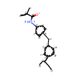 C=C(C)C(=O)Nc1ccc(Cc2ccc(C(C)C)cc2)cc1